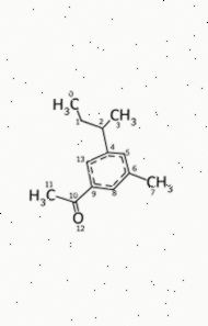 CCC(C)c1cc(C)cc(C(C)=O)c1